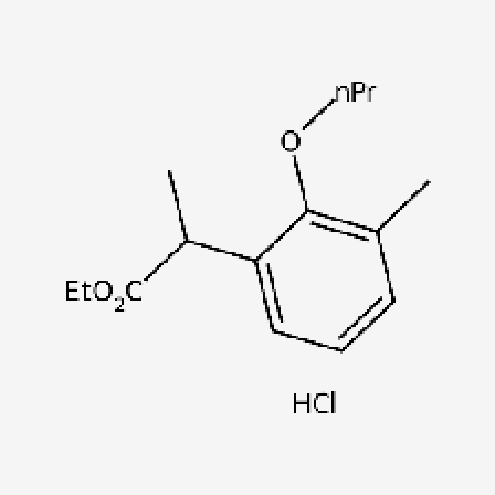 CCCOc1c(C)cccc1C(C)C(=O)OCC.Cl